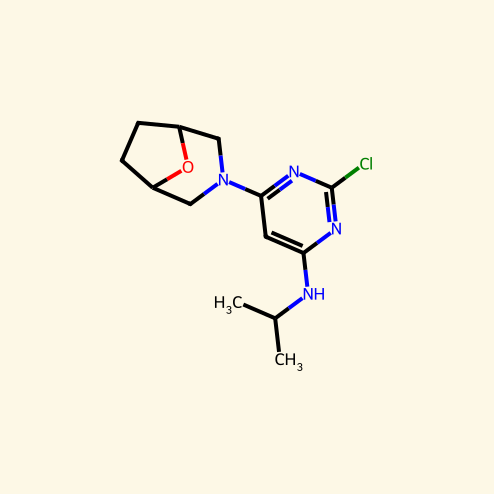 CC(C)Nc1cc(N2CC3CCC(C2)O3)nc(Cl)n1